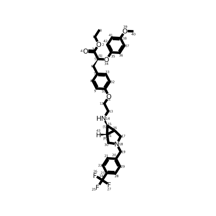 CCOC(=O)[C@H](Cc1ccc(OCCN[C@H]2C3CN(Cc4ccc(C(F)(F)F)cc4)C[C@@H]32)cc1)Oc1ccc(OC)cc1